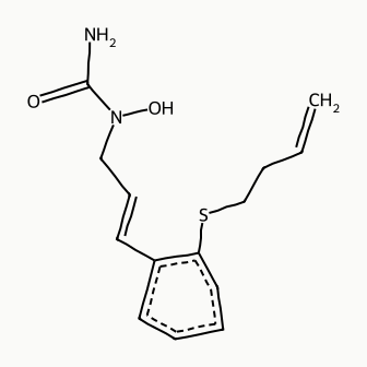 C=CCCSc1ccccc1C=CCN(O)C(N)=O